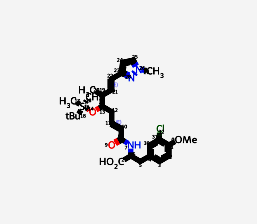 COc1ccc(CC(NC(=O)/C=C/CC(O[Si](C)(C)C(C)(C)C)C(C)/C=C/c2ccn(C)n2)C(=O)O)cc1Cl